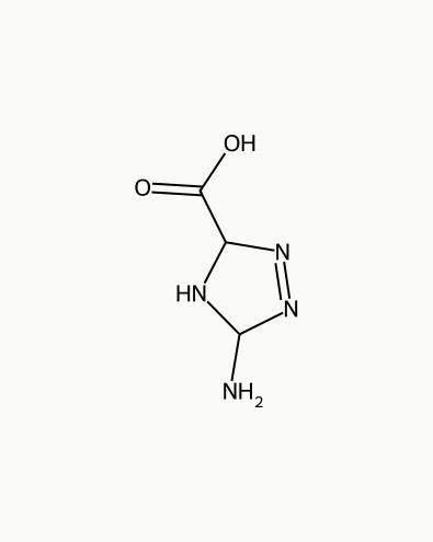 NC1N=NC(C(=O)O)N1